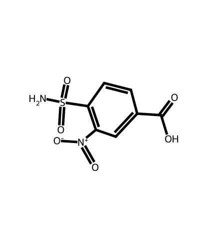 NS(=O)(=O)c1ccc(C(=O)O)cc1[N+](=O)[O-]